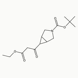 CCOC(=O)CC(=O)C1C2CN(C(=O)OC(C)(C)C)CC21